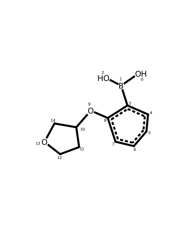 OB(O)c1ccccc1OC1CCOC1